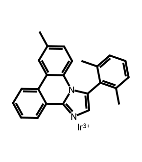 Cc1ccc2c(c1)c1ccccc1c1ncc(-c3c(C)cccc3C)n21.[Ir+3]